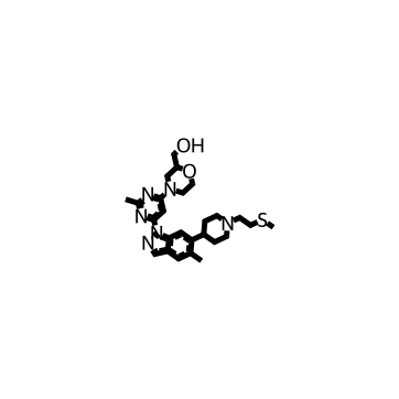 CSCCN1CCC(c2cc3c(cnn3-c3cc(N4CCOC(CO)C4)nc(C)n3)cc2C)CC1